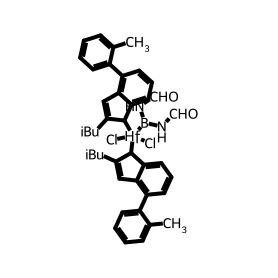 CCC(C)C1=Cc2c(-c3ccccc3C)cccc2[CH]1[Hf]([Cl])([Cl])([B](NC=O)NC=O)[CH]1C(C(C)CC)=Cc2c(-c3ccccc3C)cccc21